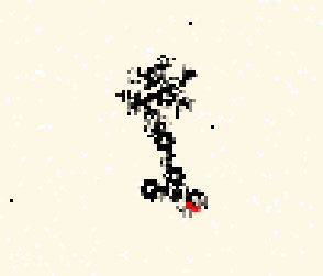 O=C(N[C@@H](c1ccccc1)c1cccc(OCc2ccc(S(=O)(=O)N3CC(C(C(=O)O)[C@H](Cc4c(Cl)c[n+]([O-])cc4Cl)c4ccc(OC(F)F)c(OCC5CC5)c4)C3)cc2)c1)O[C@H]1CN2CCC1CC2